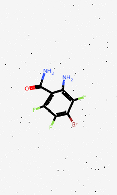 NC(=O)c1c(N)c(F)c(Br)c(F)c1F